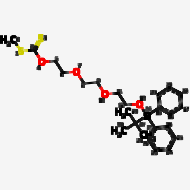 CSC(=S)OCCOCCOCCO[Si](c1ccccc1)(c1ccccc1)C(C)(C)C